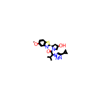 COc1ccc2sc([C@@H]3C[C@@H](O)CN3C(=O)C(C(C)C)n3cc(C4CC4)nn3)nc2c1